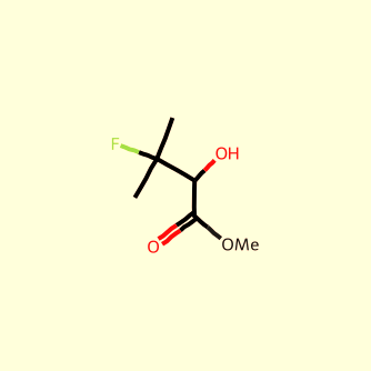 COC(=O)C(O)C(C)(C)F